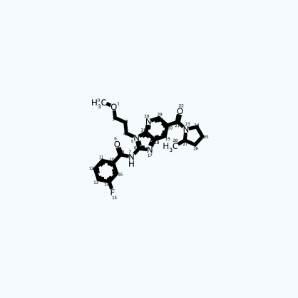 COCCCn1c(NC(=O)c2cccc(F)c2)nc2cc(C(=O)N3CCCC3C)cnc21